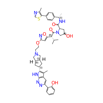 Cc1ncsc1-c1ccc([C@H](C)NC(=O)C2C[C@@H](O)CN2C(=O)[C@@H](c2cc(OCCN3C[C@H]4C[C@H](c5[nH]c6nnc(-c7ccccc7O)cc6c5C)C[C@H]4C3)no2)C(C)C)cc1